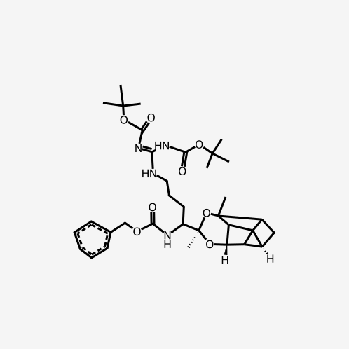 CC(C)(C)OC(=O)/N=C(/NCCCC(NC(=O)OCc1ccccc1)[C@]1(C)O[C@H]2C3[C@@H]4CC5C(C)(O1)C2C354)NC(=O)OC(C)(C)C